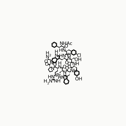 CC(=O)N[C@H](Cc1ccccc1)C(=O)N[C@@H](Cc1ccc(Cl)cc1)C(=O)N[C@H](Cc1c[nH]c2ccccc12)C(=O)N[C@@H](CO)C(=O)N[C@@H](Cc1ccc(O)cc1)C(=O)N[C@H](Cc1c[nH]c2ccccc12)C(=O)N[C@@H](CC(C)C)C(=O)N[C@@H](CCCNC(=N)N)C(=O)N1CCC[C@H]1C(=O)NCC(N)=O